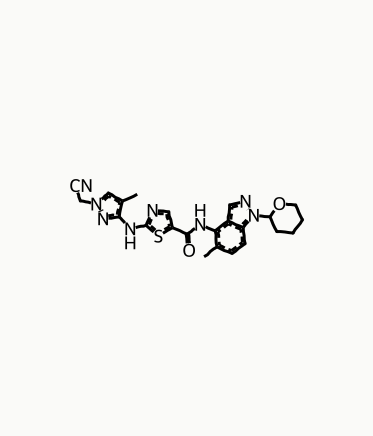 Cc1cn(CC#N)nc1Nc1ncc(C(=O)Nc2c(C)ccc3c2cnn3C2CCCCO2)s1